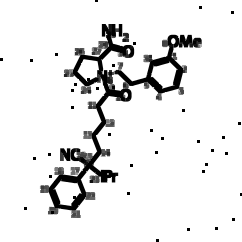 COc1cccc(CC[N@+]2(C(=O)CCCC[C@@](C#N)(c3ccccc3)C(C)C)CCCC2C(N)=O)c1